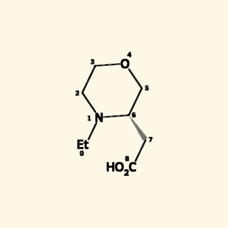 CCN1CCOC[C@@H]1CC(=O)O